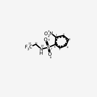 O=[N+]([O-])c1ccccc1S(=O)(=O)NCC(F)(F)F